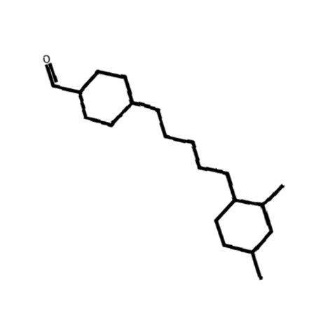 CC1CCC(CCCCCC2CCC(C=O)CC2)C(C)C1